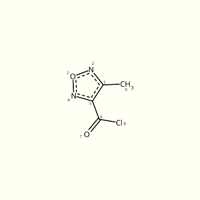 Cc1nonc1C(=O)Cl